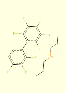 CCCPCCC.Fc1ccc(-c2c(F)c(F)c(F)c(F)c2F)c(F)c1F